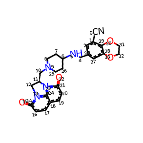 N#Cc1cc(CNC2CCN(C[C@@H]3Cn4c(=O)ccc5ccc(=O)n3c54)CC2)cc2c1OCCO2